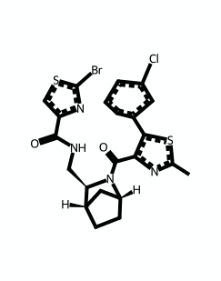 Cc1nc(C(=O)N2[C@@H]3CC[C@@H](C3)[C@H]2CNC(=O)c2csc(Br)n2)c(-c2cccc(Cl)c2)s1